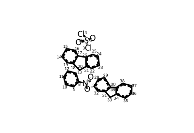 O=S(=O)(Cl)Cl.O=[N+]([O-])c1ccccc1.c1ccc2c(c1)Cc1ccccc1-2.c1ccc2c(c1)Cc1ccccc1-2